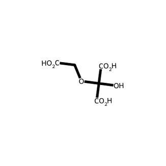 O=C(O)COC(O)(C(=O)O)C(=O)O